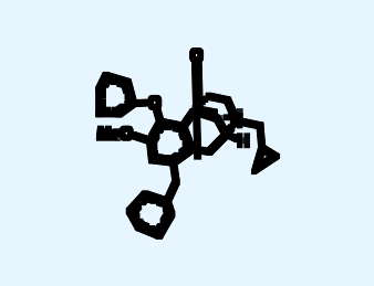 COc1cc(Cc2ccccc2)c2c(c1Oc1ccccc1)[C@]13CCN(CC4CC4)[C@H](C2)[C@@H]1CCC(=O)C3